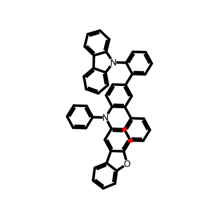 c1ccc(-c2cc(-c3ccccc3-n3c4ccccc4c4ccccc43)ccc2N(c2ccccc2)c2ccc3oc4ccccc4c3c2)cc1